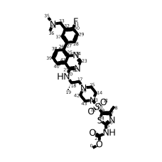 COC(=O)Nc1nc(C)c(S(=O)(=O)N2CCN(C[C@H](C)Nc3ncnc4c(-c5ccc(F)c(CN(C)C)c5)cccc34)CC2)s1